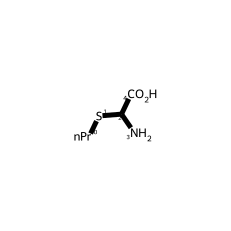 CCCSC(N)C(=O)O